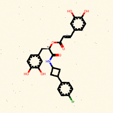 O=C(/C=C/c1ccc(O)c(O)c1)O[C@H](Cc1ccc(O)c(O)c1)C(=O)NC1CC(c2ccc(Br)cc2)C1